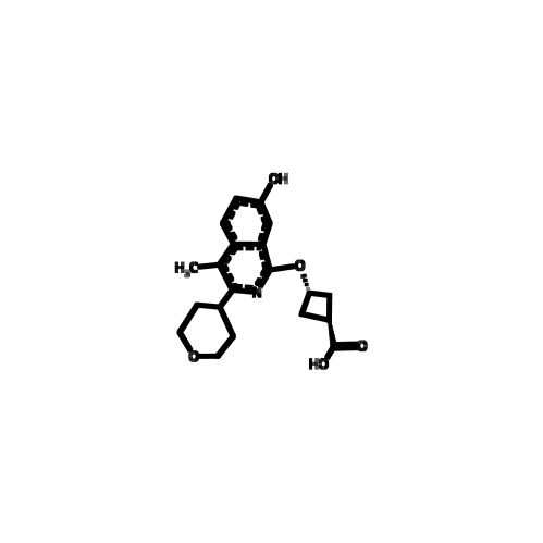 Cc1c(C2CCOCC2)nc(O[C@H]2C[C@H](C(=O)O)C2)c2cc(O)ccc12